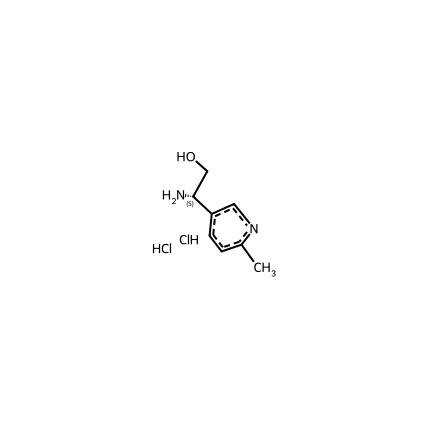 Cc1ccc([C@H](N)CO)cn1.Cl.Cl